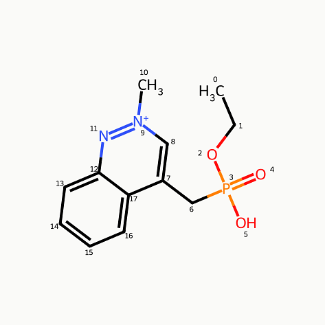 CCOP(=O)(O)Cc1c[n+](C)nc2ccccc12